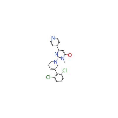 Cn1c(N2CCC=C(c3c(Cl)cccc3Cl)C2)nc(-c2ccncc2)cc1=O